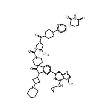 CC(C)n1cnc2cc(-c3ccc4c(c3)N(C3CC(N5CCCCC5)C3)C(=O)C43CCN(C(=O)[C@H]4CN(C(=O)C5CCN(c6ccc([C@H]7CCC(=O)NC7=O)cn6)CC5)C[C@H]4C)CC3)nc(NC3CC3)c21